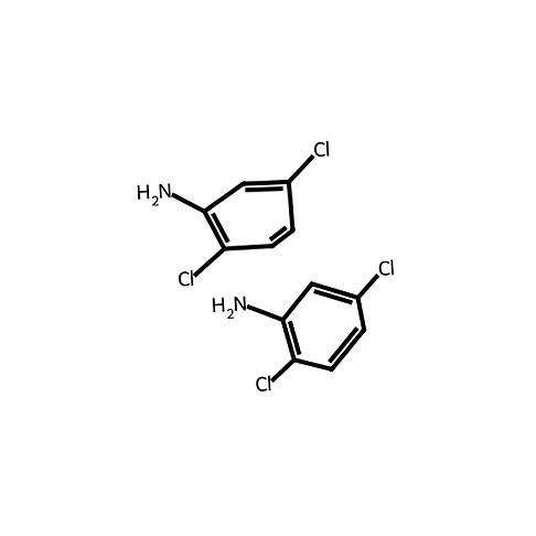 Nc1cc(Cl)ccc1Cl.Nc1cc(Cl)ccc1Cl